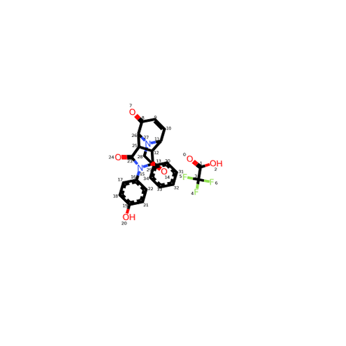 O=C(O)C(F)(F)F.O=C1C=CC2C3C(=O)N(c4ccc(O)cc4)C(=O)C3C1N2Cc1ccccc1